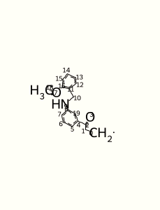 [CH2]CC(=O)c1cccc(NCc2ccccc2OC)c1